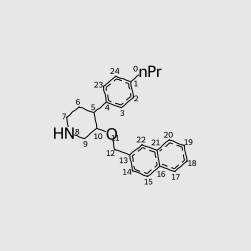 [CH2]CCc1ccc(C2CCNCC2OCc2ccc3ccccc3c2)cc1